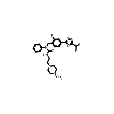 CN1CCN(CCNC(=O)N(Cc2ccc(-c3nnc(C(F)F)o3)cc2F)c2ccccc2)CC1